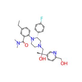 CCc1ccc(N2CCN(C[C@@](C)(O)c3ccc(CO)nc3)C[C@H]2c2ccc(F)cc2)c(C(=O)N(C)C)c1